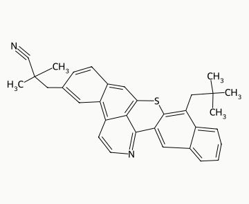 CC(C)(C)Cc1c2c(cc3ccccc13)-c1nccc3c1c(cc1ccc(CC(C)(C)C#N)cc13)S2